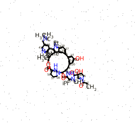 C=CC(=O)N1CCC(O)(C(=O)N(C)[C@H](C(=O)N[C@H]2Cc3cc(O)cc(c3)-c3ccc4c(c3)c(c(-c3cc(CN(C)C)cnc3OC)n4CC)CC(C)(C)COC(=O)[C@@H]3CCCN(N3)C2=O)C(C)C)C1